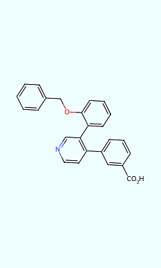 O=C(O)c1cccc(-c2ccncc2-c2ccccc2OCc2ccccc2)c1